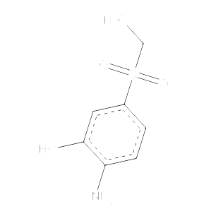 CCS(=O)(=O)c1ccc(N)c(O)c1